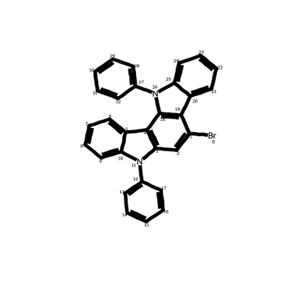 Brc1cc2c(c3ccccc3n2-c2ccccc2)c2c1c1ccccc1n2-c1ccccc1